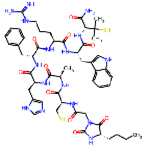 CCCC[C@@H]1NC(=O)N(CC(=O)N[C@@H](CS)C(=O)N[C@H](C)C(=O)N[C@@H](Cc2cnc[nH]2)C(=O)N[C@H](Cc2ccccc2)C(=O)N[C@@H](CCCNC(=N)N)C(=O)N[C@@H](Cc2c[nH]c3ccccc23)C(=O)N[C@H](C(N)=O)C(C)(C)S)C1=O